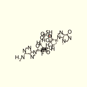 Cn1cnc(=O)c2ncn([C@@H]3C[C@@H]4OP(=O)(S)[C@H]5[C@@H](F)[C@H](n6cnc7c(N)ncnc76)O[C@@H]5COP(=O)(S)O[C@@H]3[C@@H]4O)c21